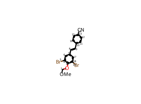 COCOc1c(Br)cc(/C=C/c2ccc(C#N)cc2)cc1Br